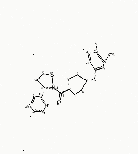 N#Cc1cc(C[C@H]2CC[C@H](C(=O)N3OCC[C@H]3c3cnccn3)CC2)ccc1F